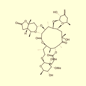 C=C1C[C@@H](C)O[C@@H](O[C@@H]2[C@@H](C)[C@H](O[C@H]3C[C@@]4(C)OC(=O)C[C@H]4[C@H](C)O3)[C@@H](C)C(=O)O[C@H]([C@@H](C)CO[C@@H]3O[C@H](C)[C@@H](O)[C@@H](OC)[C@H]3OC)[C@H](C)[C@@H](OC(=O)CC(C)C)[C@@H](C)C(=O)[C@@](C)(O)C[C@@H]2C)[C@@H]1O